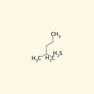 CCCC(C)C.S